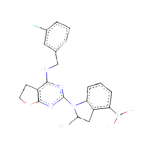 CC1Cc2c(B(O)O)cccc2N1c1nc(NCc2cccc(F)c2)c2c(n1)OCC2